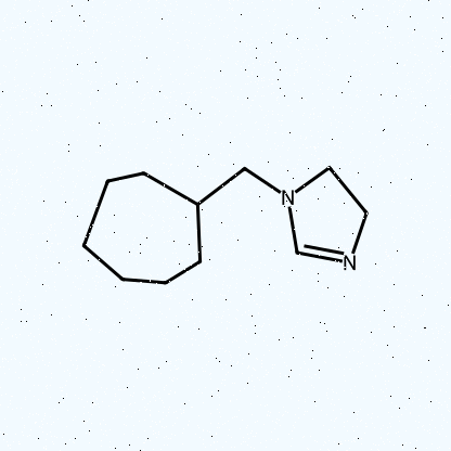 C1=NCCN1CC1CCCCCC1